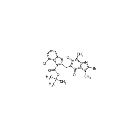 Cn1c(Br)nc2c1c(=O)n(Cc1cc3cccc(Cl)c3n1C(=O)OC(C)(C)C)c(=O)n2C